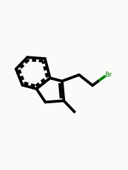 CC1=C(CCBr)c2ccccc2C1